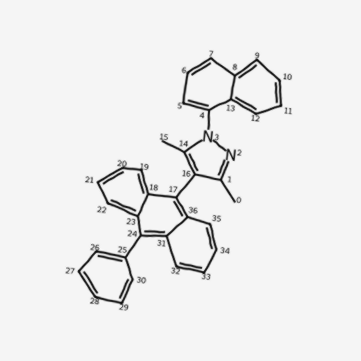 Cc1nn(-c2cccc3ccccc23)c(C)c1-c1c2ccccc2c(-c2ccccc2)c2ccccc12